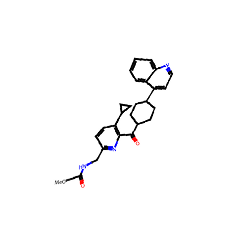 COC(=O)NCc1ccc(C2CC2)c(C(=O)C2CCC(c3ccnc4ccccc34)CC2)n1